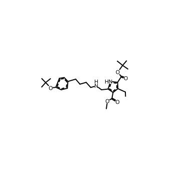 CCc1c(C(=O)OC(C)(C)C)[nH]c(CNCCCCc2ccc(OC(C)(C)C)cc2)c1C(=O)OC